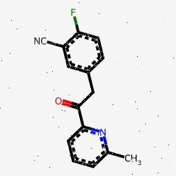 Cc1cccc(C(=O)Cc2ccc(F)c(C#N)c2)n1